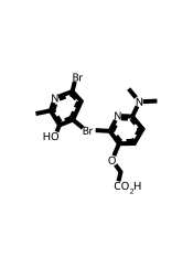 Cc1nc(Br)cc(Br)c1O.Cc1nc(N(C)C)ccc1OCC(=O)O